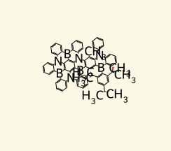 Cc1c2c(cc3c1N1c4ccccc4B4c5ccccc5N5c6ccccc6B6c7ccccc7N7c8ccccc8B3c3c7c6c5c4c31)B(c1c(C(C)C)cc(C(C)C)cc1C(C)C)c1ccccc1N2c1ccccc1